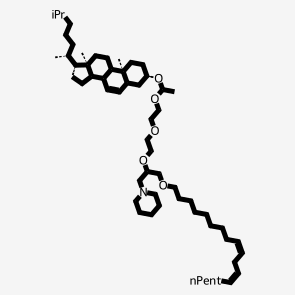 CCCCC/C=C\C/C=C\CCCCCCCCOCC(CN1CCCCC1)OCCOCCOC(C)O[C@H]1CC[C@@]2(C)C(C=CC3C2CC[C@@]2(C)C3CC[C@@H]2[C@H](C)CCCC(C)C)C1